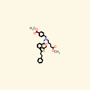 COC(=O)CCCCN(Cc1ccc(C(=O)OC)cc1)C[C@H](OCc1ccc(CCc2ccccc2)s1)c1ccccc1